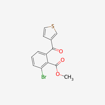 COC(=O)c1c(Br)cccc1C(=O)c1ccsc1